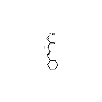 CC(C)(C)OC(=O)N/N=C/C1CCCCC1